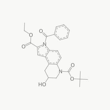 CCOC(=O)c1cc2c3c(ccc2n1C(=O)c1ccccc1)N(C(=O)OC(C)(C)C)CC(O)C3